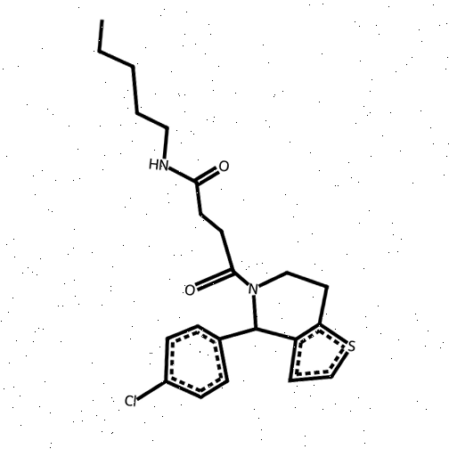 CCCCCNC(=O)CCC(=O)N1CCc2sccc2C1c1ccc(Cl)cc1